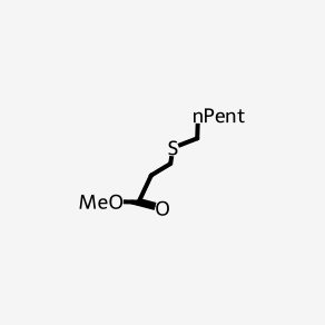 CCCCCCSCCC(=O)OC